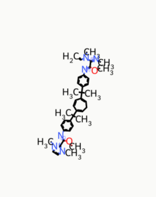 C=CN(C)C(=N/C)/C(=N/c1ccc(C(C)(C)C2=CCC=C(C(C)(C)c3ccc(/N=C(\OC)c4n(C)cc[n+]4C)cc3)C=C2)cc1)OC